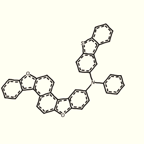 c1ccc(N(c2ccc3sc4ccccc4c3c2)c2ccc3oc4ccc5c(ccc6oc7ccccc7c65)c4c3c2)cc1